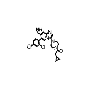 NCc1cc2ncc(N3CCN(C(=O)CC4CC4)CC3)n2cc1-c1ccc(Cl)cc1Cl